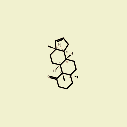 C[C@]12C(=O)CCC[C@@H]1CC[C@@H]1[C@@H]2CC[C@]2(C)C=CC[C@@H]12